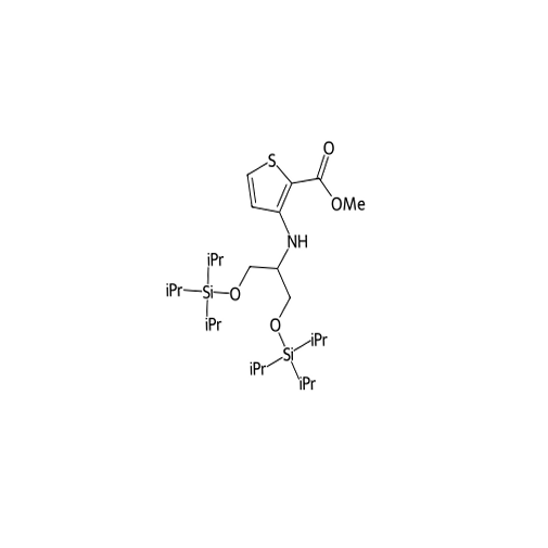 COC(=O)c1sccc1NC(CO[Si](C(C)C)(C(C)C)C(C)C)CO[Si](C(C)C)(C(C)C)C(C)C